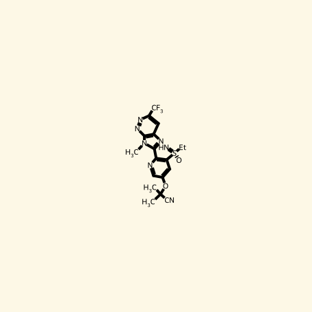 CCS(=N)(=O)c1cc(OC(C)(C)C#N)cnc1-c1nc2cc(C(F)(F)F)nnc2n1C